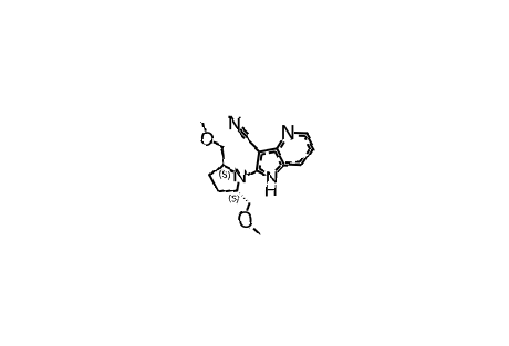 COC[C@@H]1CC[C@@H](COC)N1c1[nH]c2cccnc2c1C#N